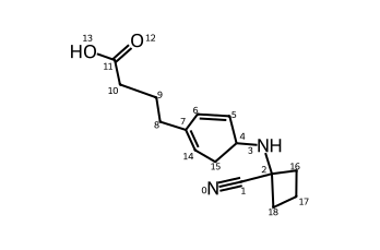 N#CC1(NC2C=CC(CCCC(=O)O)=CC2)CCC1